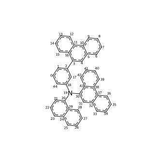 c1cc(-c2cc3ccccc3c3ccccc23)cc(N(c2cccc3ccccc23)c2cc3ccccc3c3ccccc23)c1